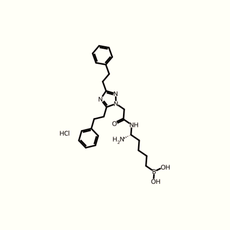 Cl.N[C@@H](CCCCB(O)O)NC(=O)Cn1nc(CCc2ccccc2)nc1CCc1ccccc1